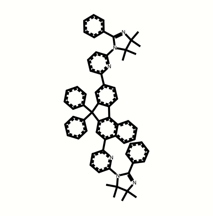 CC1(C)N=C(c2ccccc2)N(c2cccc(-c3ccc4c(c3)C(c3ccccc3)(c3ccccc3)c3cc(-c5cccc(N6C(c7ccccc7)=NC(C)(C)C6(C)C)n5)c5ccccc5c3-4)n2)C1(C)C